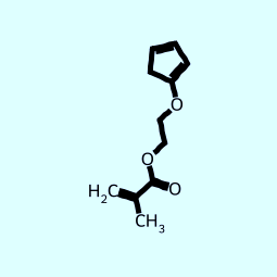 C=C(C)C(=O)OCCOC1=CC=CC1